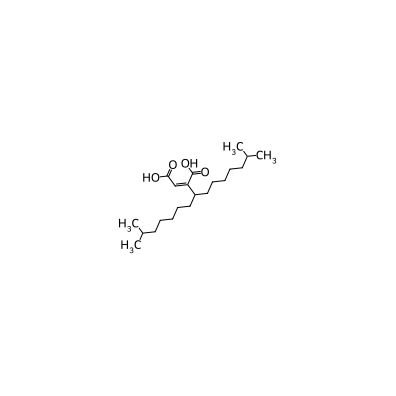 CC(C)CCCCCC(CCCCCC(C)C)C(=CC(=O)O)C(=O)O